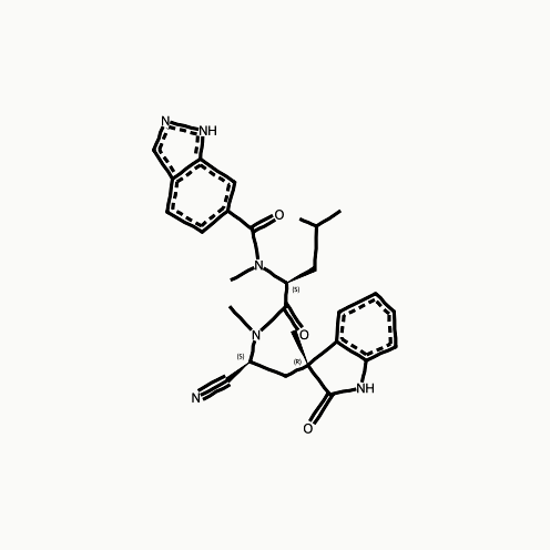 CC(C)C[C@@H](C(=O)N(C)[C@H](C#N)C[C@@]1(C)C(=O)Nc2ccccc21)N(C)C(=O)c1ccc2cn[nH]c2c1